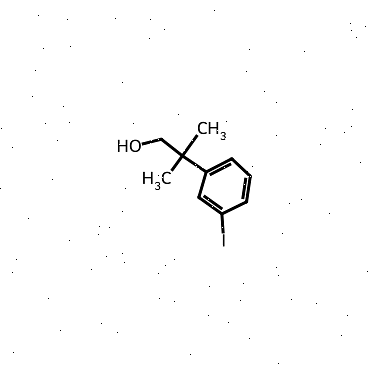 CC(C)(CO)c1cccc(I)c1